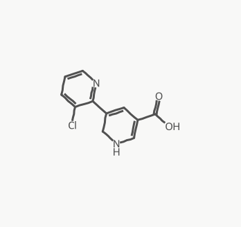 O=C(O)C1=CNCC(c2ncccc2Cl)=C1